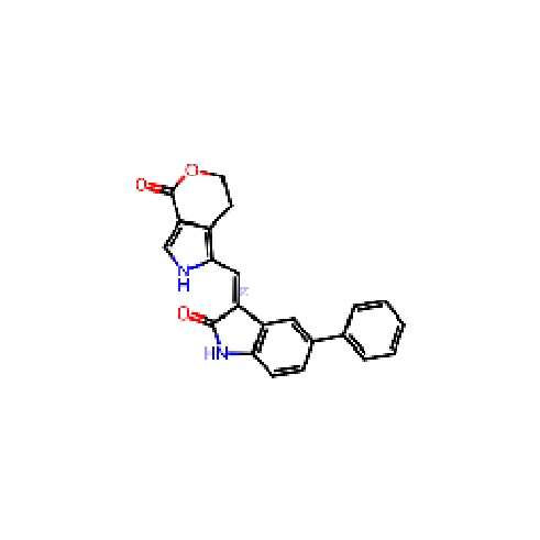 O=C1Nc2ccc(-c3ccccc3)cc2/C1=C/c1[nH]cc2c1CCOC2=O